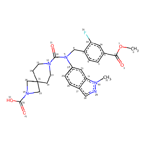 COC(=O)c1ccc(CN(C(=O)N2CCC3(CC2)CN(C(=O)O)C3)c2ccc3cnn(C)c3c2)c(F)c1